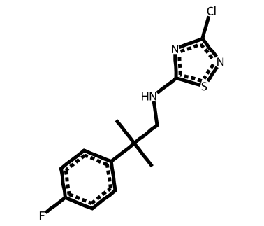 CC(C)(CNc1nc(Cl)ns1)c1ccc(F)cc1